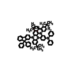 CC(C)(C)c1ccc2c(c1)B1c3ccc(N(c4ccccc4)c4ccccc4)cc3N(c3ccc(C(C)(C)C)cc3-c3ccccc3)c3cc(C(C)(C)C)cc(c31)N2c1ccc2c(c1)C(c1ccccc1)(c1ccccc1)c1ccccc1-2